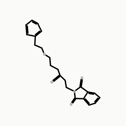 O=C(CCCOCCc1ccccc1)CCN1C(=O)c2ccccc2C1=O